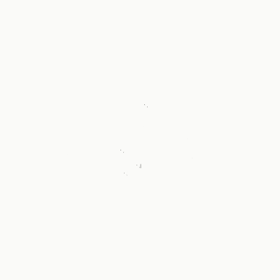 CCOC(=O)CSc1n[nH]c(-c2cc(-c3cc(C)cc(Cl)c3)cc([N+](=O)[O-])c2)n1